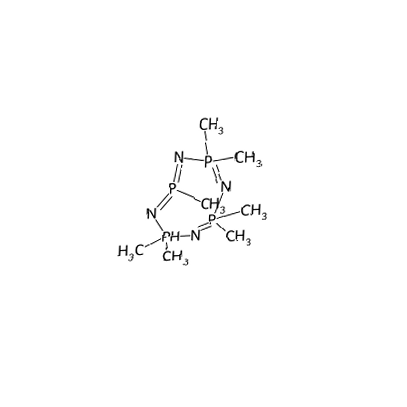 C/P1=N/P(C)(C)=NP(C)(C)=N[PH](C)(C)/N=1